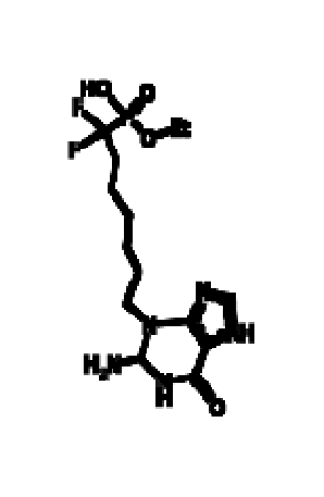 CCOP(=O)(O)C(F)(F)CCCCCCN1c2nc[nH]c2C(=O)NC1N